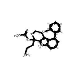 CCCC1(OC(C)=O)OCCc2c1[nH]c1cccc(-c3ccccc3Cl)c21